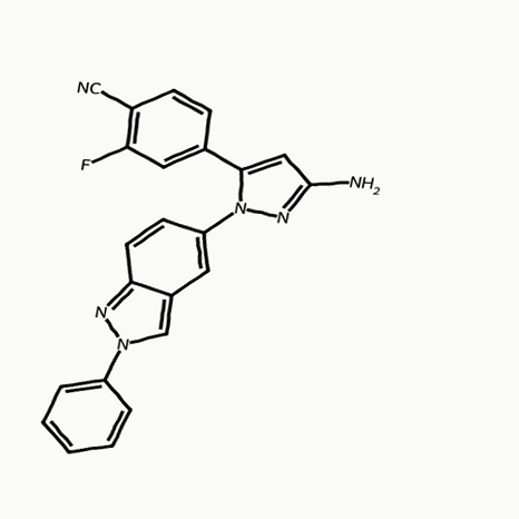 N#Cc1ccc(-c2cc(N)nn2-c2ccc3nn(-c4ccccc4)cc3c2)cc1F